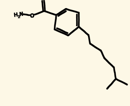 CC(C)CCCCCc1ccc(C(=O)ON)cc1